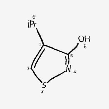 CC(C)c1csnc1O